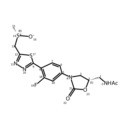 CC(=O)NC[C@H]1CN(c2ccc(-c3nnc(C[S@+](C)[O-])s3)c(F)c2)C(=O)O1